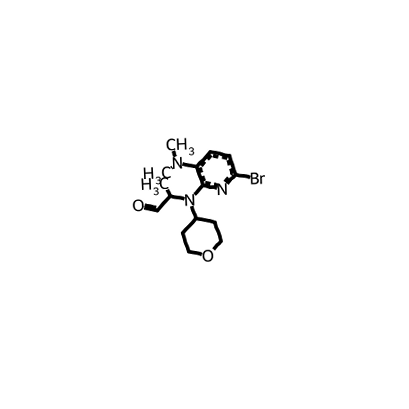 CC(C=O)N(c1nc(Br)ccc1N(C)C)C1CCOCC1